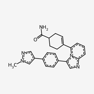 Cn1cc(-c2ccc(-c3cnc4cccc(C5=CCC(C(N)=O)CC5)n34)cc2)cn1